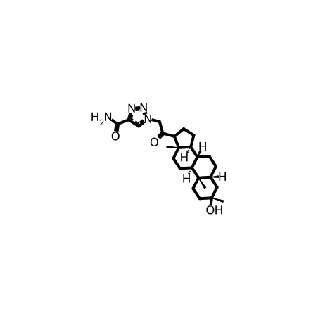 C[C@@]1(O)CC[C@@]2(C)[C@H](CC[C@@H]3[C@@H]2CC[C@]2(C)C(C(=O)Cn4cc(C(N)=O)nn4)CC[C@@H]32)C1